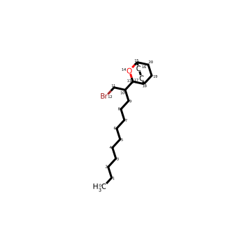 CCCCCCCCCCC(CBr)[C]1OC2CCC1CC2